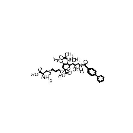 CC(=O)N[C@H]1C([C@H](C)[C@H](O)CNC(=O)c2ccc(-c3ccccc3)cc2)O[C@@](OCCCSCC(N)C(=O)O)(C(=O)O)C[C@@H]1O